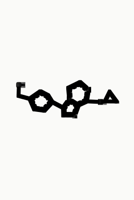 OCc1ccc(-c2cnc3c(NC4CC4)nccn23)cc1